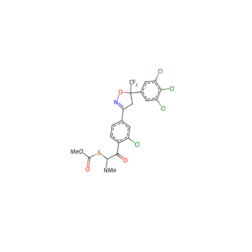 CNC(SC(=O)OC)C(=O)c1ccc(C2=NOC(c3cc(Cl)c(Cl)c(Cl)c3)(C(F)(F)F)C2)cc1Cl